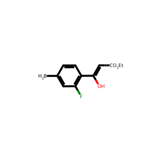 Bc1ccc(/C(O)=C/C(=O)OCC)c(F)c1